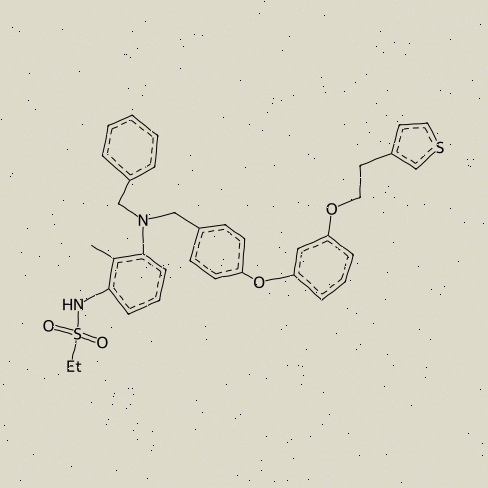 CCS(=O)(=O)Nc1cccc(N(Cc2ccccc2)Cc2ccc(Oc3cccc(OCCc4ccsc4)c3)cc2)c1C